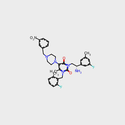 Cc1cc(F)cc([C@H](N)Cn2c(=O)c(N3CCN(Cc4cccc([N+](=O)[O-])c4)CC3)c(C)n(Cc3c(F)cccc3C(F)(F)F)c2=O)c1